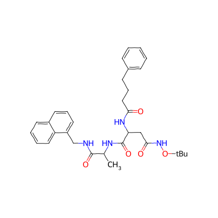 CC(NC(=O)C(CC(=O)NOC(C)(C)C)NC(=O)CCCc1ccccc1)C(=O)NCc1cccc2ccccc12